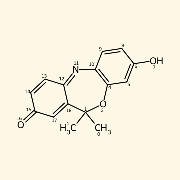 CC1(C)Oc2cc(O)ccc2N=C2C=CC(=O)C=C21